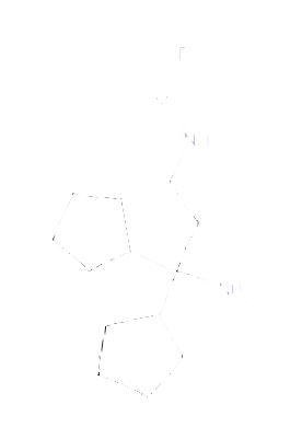 CCONCCC(N)(C1CCCC1)C1CCCC1